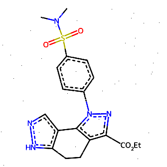 CCOC(=O)c1nn(-c2ccc(S(=O)(=O)N(C)C)cc2)c2c1CCc1[nH]ncc1-2